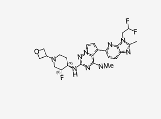 CNc1nc(N[C@@H]2CCN(C3COC3)C[C@H]2F)nn2ccc(-c3ccc4nc(C)n(CC(F)F)c4n3)c12